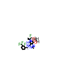 [2H]C([2H])([2H])Oc1c(=O)n(C2(CF)CC2)cc2c(N[C@H](C)c3cccc(C(F)F)c3F)nc(C)nc12